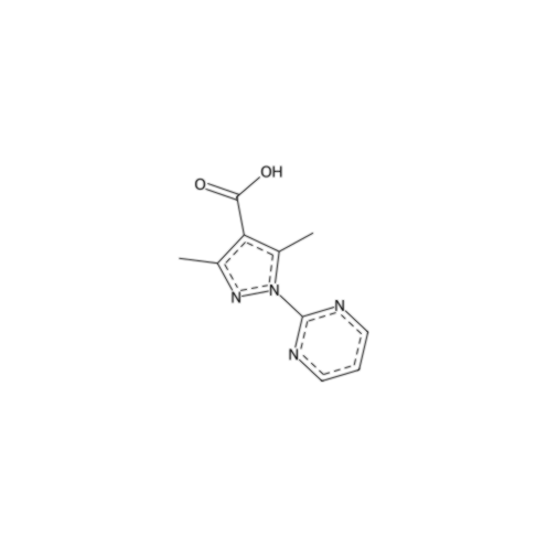 Cc1nn(-c2ncccn2)c(C)c1C(=O)O